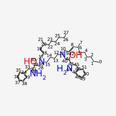 CCCCCCC(C)C=CCN(CCCCN(CC=CC(C)CCCCCC)CC(O)C(N)Cc1ccccc1)CC(O)C(N)Cc1ccccc1